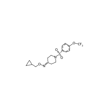 O=S(=O)(c1ccc(OC(F)(F)F)cc1)N1CCC(=NOCC2CC2)CC1